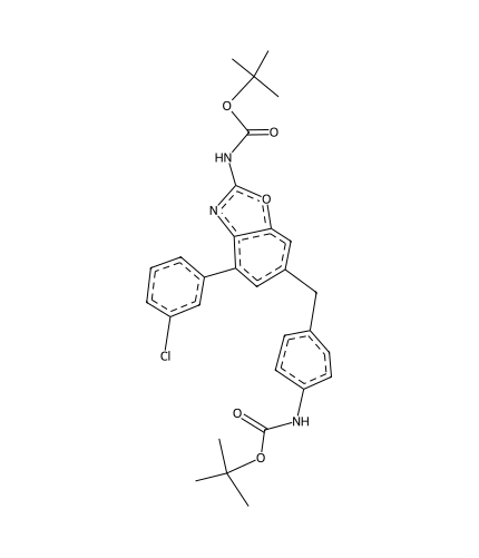 CC(C)(C)OC(=O)Nc1ccc(Cc2cc(-c3cccc(Cl)c3)c3nc(NC(=O)OC(C)(C)C)oc3c2)cc1